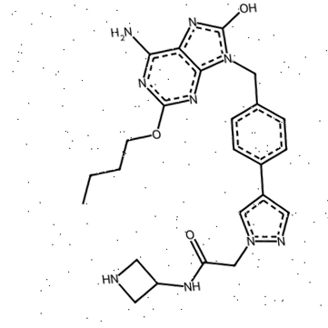 CCCCOc1nc(N)c2nc(O)n(Cc3ccc(-c4cnn(CC(=O)NC5CNC5)c4)cc3)c2n1